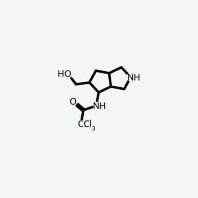 O=C(NC1C(CO)CC2CNCC21)C(Cl)(Cl)Cl